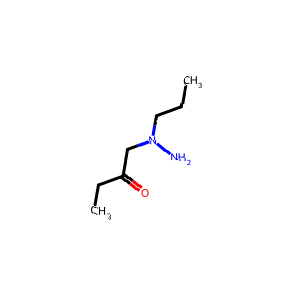 CCCN(N)CC(=O)CC